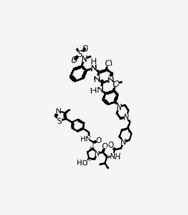 COc1cc(N2CCN(CC3CCN(CC(=O)N[C@H](C(=O)N4C[C@H](O)C[C@@H]4C(=O)NCc4ccc(-c5scnc5C)cc4)C(C)C)CC3)CC2)ccc1Nc1ncc(Cl)c(Nc2ccccc2N(C)S(C)(=O)=O)n1